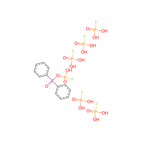 O=P(O)(F)OI(=O)(c1ccccc1)c1ccccc1.O=P(O)(O)F.O=P(O)(O)F.O=P(O)(O)F.O=P(O)(O)F.O=P(O)(O)F